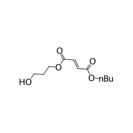 CCCCOC(=O)C=CC(=O)OCCCO